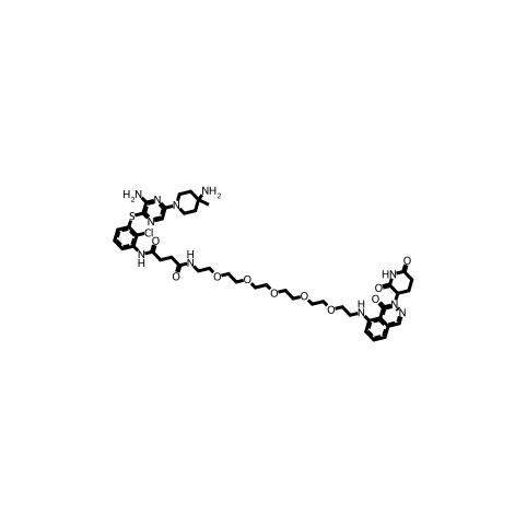 CC1(N)CCN(c2cnc(Sc3cccc(NC(=O)CCC(=O)NCCOCCOCCOCCOCCOCCNc4cccc5cnn(C6CCC(=O)NC6=O)c(=O)c45)c3Cl)c(N)n2)CC1